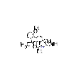 C=C(C=N)/C=C(/C(=O)CC)c1cc(-c2c(OCC)cccc2C(=C)C)ccc1C